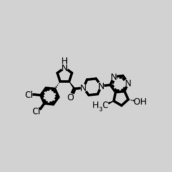 C[C@@H]1C[C@@H](O)c2ncnc(N3CCN(C(=O)[C@@H]4CNC[C@H]4c4ccc(Cl)c(Cl)c4)CC3)c21